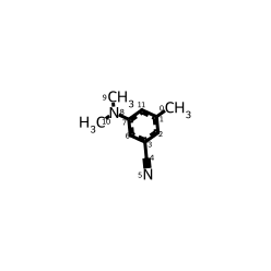 Cc1cc(C#N)cc(N(C)C)c1